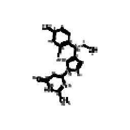 CCc1ccc([C@H](CO)c2cnn(-c3cc(=O)[nH]c(C)n3)c2)c(F)c1